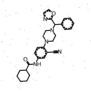 N#Cc1cc(NC(=O)C2CCCCC2)ccc1N1CCN(C(c2ccccc2)c2ncco2)CC1